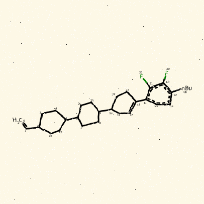 C=CC1CCC(C2CCC(C3CC=C(c4ccc(CCCC)c(F)c4F)CC3)CC2)CC1